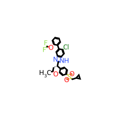 CC(=O)C[C@@H](c1ccc(S(=O)(=O)CC2CC2)cc1)c1nc2cc(-c3ccccc3OC(F)F)c(Cl)cc2[nH]1